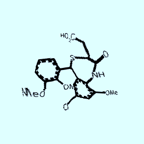 COc1cc(Cl)cc2c1NC(=O)C(CC(=O)O)SC2c1cccc(OC)c1OC